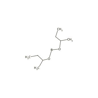 CCC(C)O[B]OC(C)CC